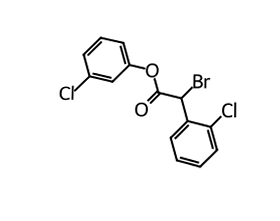 O=C(Oc1cccc(Cl)c1)C(Br)c1ccccc1Cl